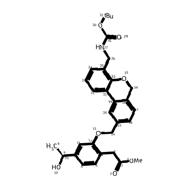 COC(=O)Cc1ccc([C@H](C)O)cc1OCc1ccc2c(c1)-c1cccc(CNC(=O)OC(C)(C)C)c1OC2